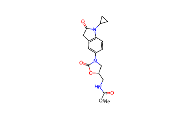 COC(=O)NCC1CN(c2ccc3c(c2)CC(=O)N3C2CC2)C(=O)O1